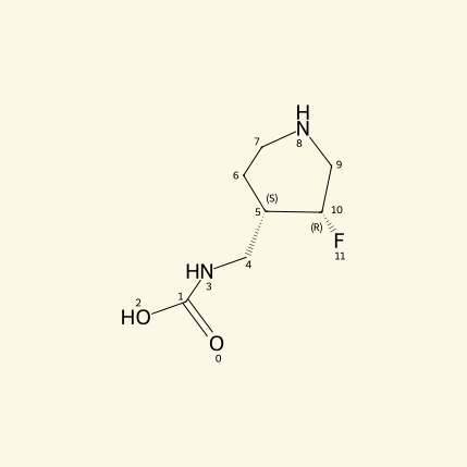 O=C(O)NC[C@@H]1CCNC[C@@H]1F